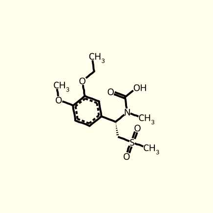 CCOc1cc([C@@H](CS(C)(=O)=O)N(C)C(=O)O)ccc1OC